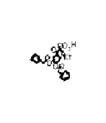 CCn1cc(C(=O)O)c(=O)c2cc(OC(=O)Cc3ccccc3)c(OC(=O)Cc3ccccc3)cc21